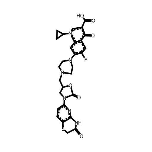 O=C1CSc2ccc(N3CC(CN4CCN(c5cc6c(cc5F)c(=O)c(C(=O)O)cn6C5CC5)CC4)OC3=O)nc2N1